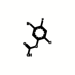 O=C(O)Oc1cc(Br)c(F)cc1Cl